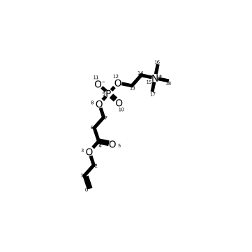 C=CCOC(=O)CCOP(=O)([O-])OCC[N+](C)(C)C